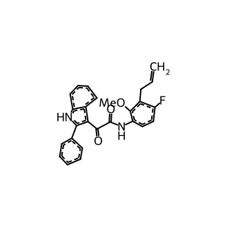 C=CCc1c(F)ccc(NC(=O)C(=O)c2c(-c3ccccc3)[nH]c3ccccc23)c1OC